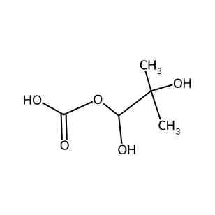 CC(C)(O)C(O)OC(=O)O